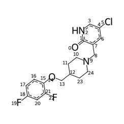 O=c1[nH]cc(Cl)cc1CN1CCC(COc2ccc(F)cc2F)CC1